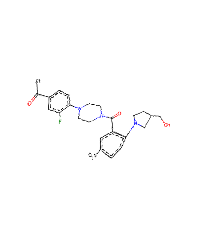 CCC(=O)c1ccc(N2CCN(C(=O)c3cc([N+](=O)[O-])ccc3N3CCC(CO)C3)CC2)c(F)c1